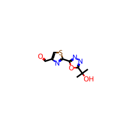 CC(C)(O)c1nnc(-c2nc(C=O)cs2)o1